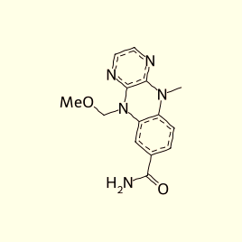 COCN1c2cc(C(N)=O)ccc2N(C)c2nccnc21